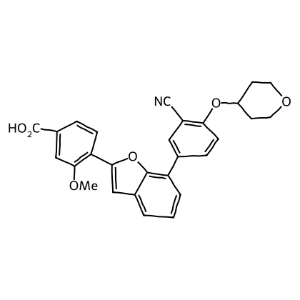 COc1cc(C(=O)O)ccc1-c1cc2cccc(-c3ccc(OC4CCOCC4)c(C#N)c3)c2o1